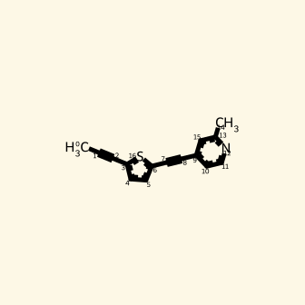 CC#Cc1ccc(C#Cc2ccnc(C)c2)s1